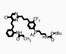 C=CC(=O)Nc1ccccc1CCc1nc(CCCc2ccc(N(CCCNC(=O)OC(C)(C)C)C(C)=O)cc2C(F)(F)F)ncc1Cl